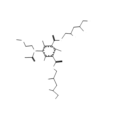 COCCN(C(C)=O)c1c(I)c(C(=O)NCC(O)CC(O)CO)c(I)c(C(=O)NCC(O)CC(O)CO)c1I